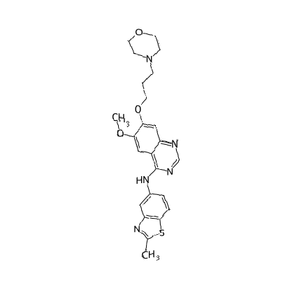 COc1cc2c(Nc3ccc4sc(C)nc4c3)ncnc2cc1OCCCN1CCOCC1